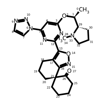 C[C@H](Oc1cc(-n2ccnn2)nc(-c2onc3c2CCC[C@@]32CCCCC2=O)n1)[C@@H]1CCCN1C